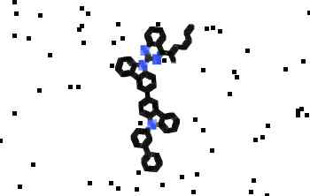 C=C/C=C\C=C(/C)c1nc(-n2c3ccccc3c3cc(-c4ccc5c(c4)c4ccccc4n5-c4cccc(-c5ccccc5)c4)ccc32)nc2ccccc12